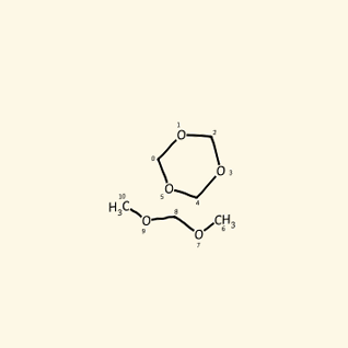 C1OCOCO1.COCOC